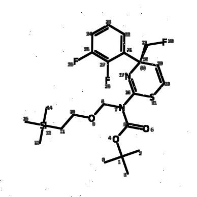 CC(C)(C)OC(=O)N(COCC[Si](C)(C)C)C1=N[C@](CF)(c2cccc(F)c2F)C=CS1